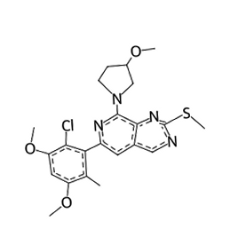 COc1cc(OC)c(Cl)c(-c2cc3cnc(SC)nc3c(N3CCC(OC)C3)n2)c1C